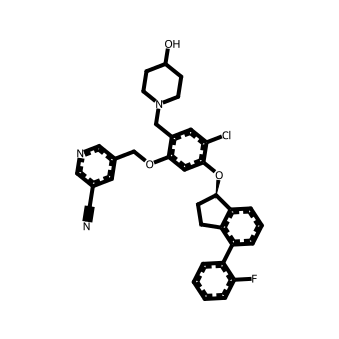 N#Cc1cncc(COc2cc(O[C@@H]3CCc4c(-c5ccccc5F)cccc43)c(Cl)cc2CN2CCC(O)CC2)c1